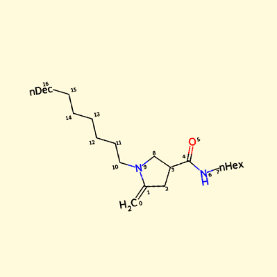 C=C1CC(C(=O)NCCCCCC)CN1CCCCCCCCCCCCCCCC